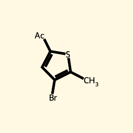 CC(=O)c1cc(Br)c(C)s1